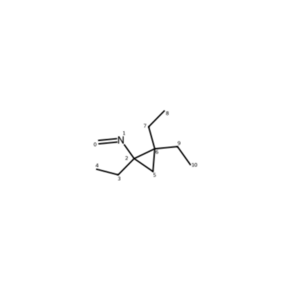 C=NC1(CC)CC1(CC)CC